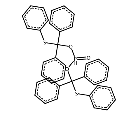 O=[PH](OC(Sc1ccccc1)(c1ccccc1)c1ccccc1)OC(Sc1ccccc1)(c1ccccc1)c1ccccc1